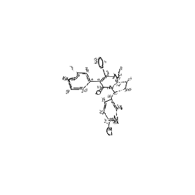 C[n+]1c([O-])c(-c2ccccc2)c(=O)n2c1CCC2c1ccc(Cl)nc1